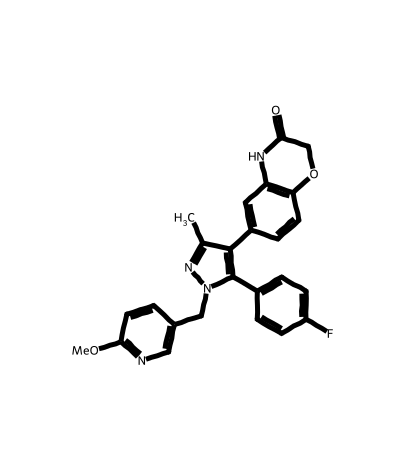 COc1ccc(Cn2nc(C)c(-c3ccc4c(c3)NC(=O)CO4)c2-c2ccc(F)cc2)cn1